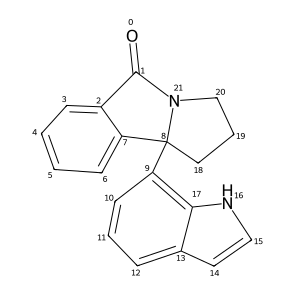 O=C1c2ccccc2C2(c3cccc4cc[nH]c34)CCCN12